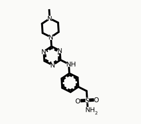 CN1CCN(c2ncnc(Nc3cccc(CS(N)(=O)=O)c3)n2)CC1